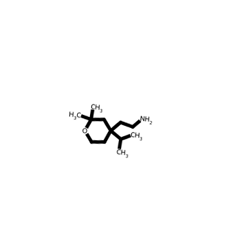 CC(C)C1(CCN)CCOC(C)(C)C1